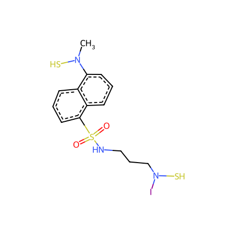 CN(S)c1cccc2c(S(=O)(=O)NCCCN(S)I)cccc12